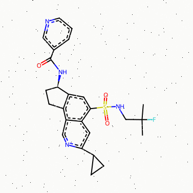 CC(C)(F)CNS(=O)(=O)c1cc2c(c3cnc(C4CC4)cc13)CC[C@H]2NC(=O)c1cccnc1